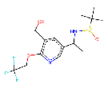 CC(N[S+]([O-])C(C)(C)C)c1cnc(OCC(F)(F)F)c(CO)c1